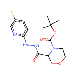 CC(C)(C)OC(=O)N1CCOCC1C(=O)NNc1ccc(F)cn1